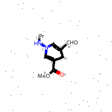 COC(=O)C1=CN(NC(C)C)C=C(C=O)C1